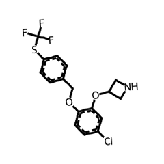 FC(F)(F)Sc1ccc(COc2ccc(Cl)cc2OC2CNC2)cc1